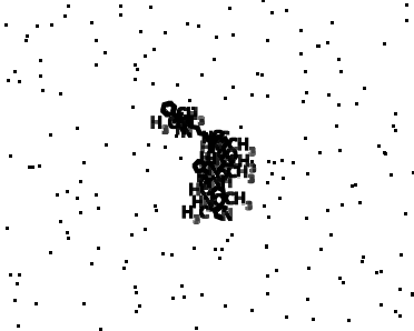 CCCC(NC(=O)[C@@H]1[C@H]2CCC[C@H]2CN1C(=O)[C@@H](NC(=O)[C@@H](NC(=O)CCCCc1nnn(C(C)(C)c2ccccc2)n1)C(C)C)C(C)C)C(O)C(=O)N[C@@H](C)c1ccncc1